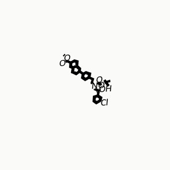 COC(=O)c1ccc2cc(-c3ccc(CCN(C[C@@H](O)c4cccc(Cl)c4)C(=O)OC(C)(C)C)cc3)ccc2c1